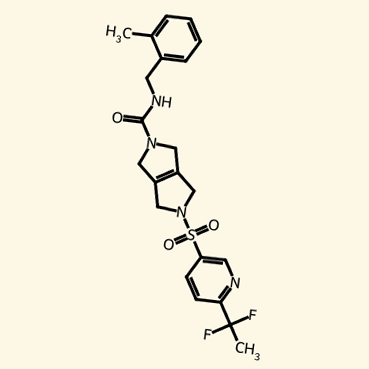 Cc1ccccc1CNC(=O)N1CC2=C(C1)CN(S(=O)(=O)c1ccc(C(C)(F)F)nc1)C2